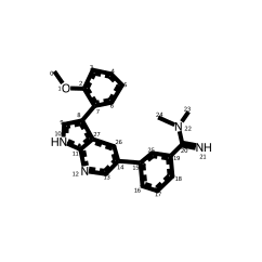 COc1ccccc1-c1c[nH]c2ncc(-c3cccc(C(=N)N(C)C)c3)cc12